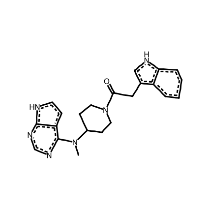 CN(c1ncnc2[nH]ccc12)C1CCN(C(=O)Cc2c[nH]c3ccccc23)CC1